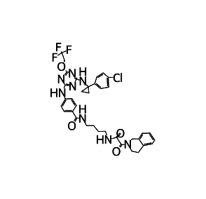 O=C(NCCCCNC(=O)c1ccc(Nc2nc(NC3(c4ccc(Cl)cc4)CC3)nc(OCC(F)(F)F)n2)cc1)C(=O)N1CCc2ccccc2C1